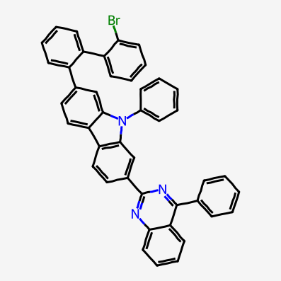 Brc1ccccc1-c1ccccc1-c1ccc2c3ccc(-c4nc(-c5ccccc5)c5ccccc5n4)cc3n(-c3ccccc3)c2c1